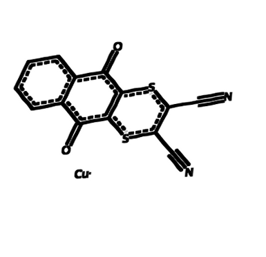 N#Cc1sc2c(=O)c3ccccc3c(=O)c=2sc1C#N.[Cu]